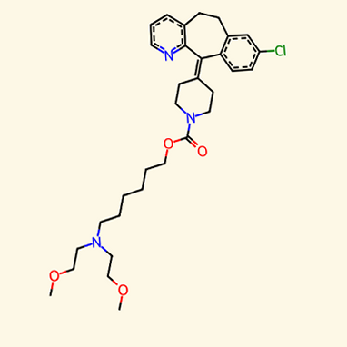 COCCN(CCCCCCOC(=O)N1CCC(=C2c3ccc(Cl)cc3CCc3cccnc32)CC1)CCOC